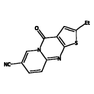 CCc1cc2c(=O)n3cc(C#N)ccc3nc2s1